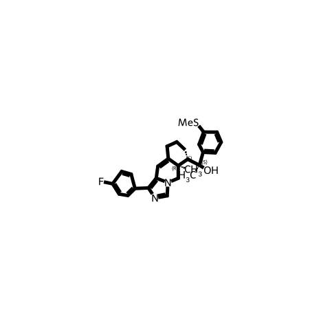 CSc1cccc([C@@](C)(O)[C@H]2CCCC3=Cc4c(-c5ccc(F)cc5)ncn4C[C@@]32C)c1